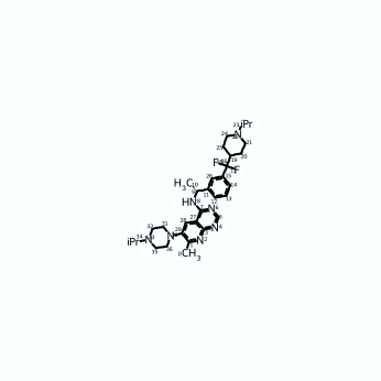 Cc1nc2ncnc(N[C@H](C)c3cccc(C(F)(F)C4CCN(C(C)C)CC4)c3)c2cc1N1CCN(C(C)C)CC1